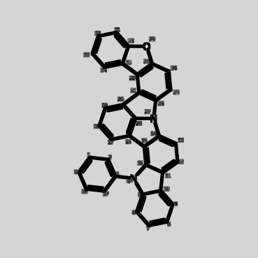 c1ccc(-n2c3ccccc3c3ccc4c(c5cccc6c7c8c(ccc7n4c65)oc4ccccc48)c32)cc1